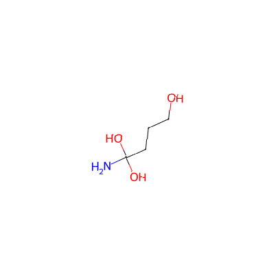 NC(O)(O)CCCO